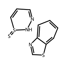 S=S1C=CC=NN1.c1ccc2scnc2c1